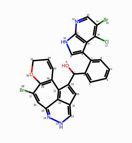 OC(c1ccccc1-c1c[nH]c2ncc(Br)c(Cl)c12)c1cc2c[nH]nc3cc(Br)c4c(c1c23)C=CCO4